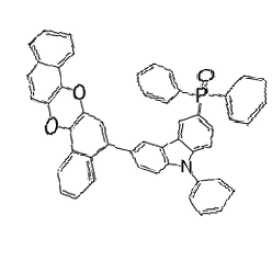 O=P(c1ccccc1)(c1ccccc1)c1ccc2c(c1)c1cc(-c3cc4c(c5ccccc35)Oc3ccc5ccccc5c3O4)ccc1n2-c1ccccc1